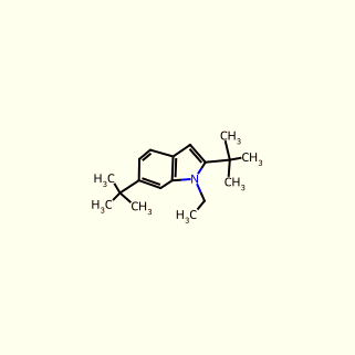 CCn1c(C(C)(C)C)cc2ccc(C(C)(C)C)cc21